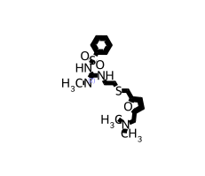 C/N=C(/NCCSCc1ccc(CN(C)C)o1)NS(=O)(=O)c1ccccc1